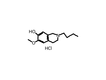 CCCCN1CCc2cc(OC)c(O)cc2C1.Cl